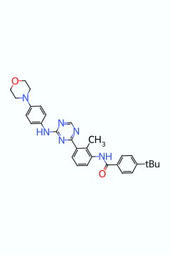 Cc1c(NC(=O)c2ccc(C(C)(C)C)cc2)cccc1-c1ncnc(Nc2ccc(N3CCOCC3)cc2)n1